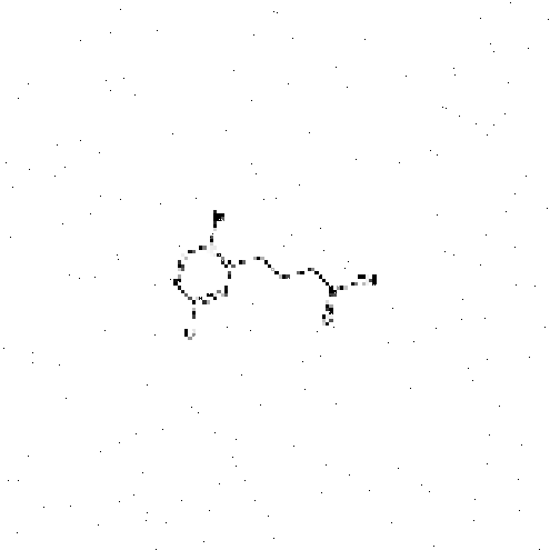 O=C(O)CCCc1cc(O)ccc1Br